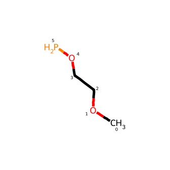 COCCOP